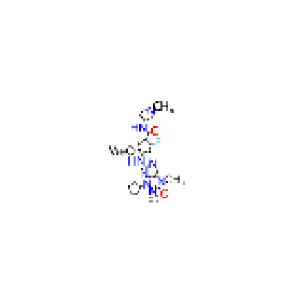 CCN1C(=O)N(C)c2cnc(Nc3cc(F)c(C(=O)N[C@@H]4CCN(C)C4)cc3OC)nc2N1C1CCCC1